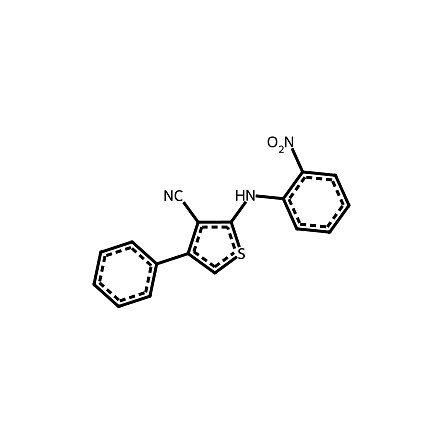 N#Cc1c(-c2ccccc2)csc1Nc1ccccc1[N+](=O)[O-]